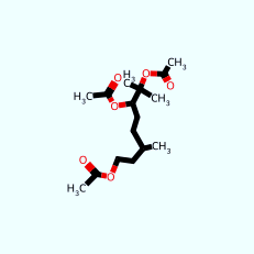 CC(=O)OCCC(C)CCC(OC(C)=O)C(C)(C)OC(C)=O